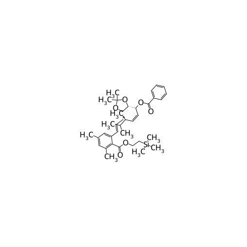 Cc1cc(C)c(C(=O)OCC[Si](C)(C)C)c(/C=C/C[C@@H]2OC(C)(C)O[C@@H]2C(/C=C\[C@H](C)C(C)C)OC(=O)c2ccccc2)c1